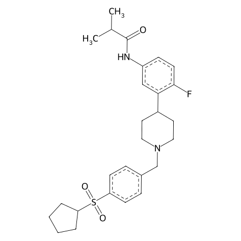 CC(C)C(=O)Nc1ccc(F)c(C2CCN(Cc3ccc(S(=O)(=O)C4CCCC4)cc3)CC2)c1